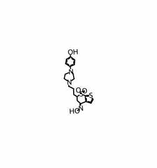 O=S1(=O)c2sccc2C(=NO)CC1CCCN1CCN(c2ccc(O)cc2)CC1